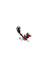 CC1(C)C(=O)N(c2ccc(C#N)c(C(F)(F)F)c2)C(=S)N1CCCCCCCN1CCN(C(=O)C(F)(F)F)CC1